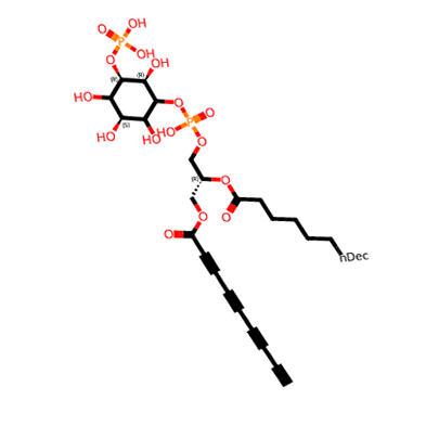 C#CC#CC#CC#CC(=O)OC[C@H](COP(=O)(O)OC1C(O)[C@@H](O)C(O)[C@@H](OP(=O)(O)O)[C@H]1O)OC(=O)CCCCCCCCCCCCCCC